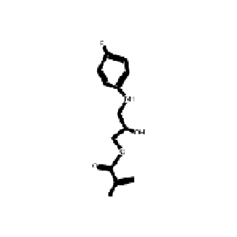 C=C(C)C(=O)OCC(O)CNc1ccc(F)cc1